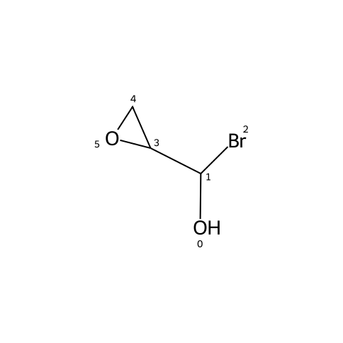 OC(Br)C1CO1